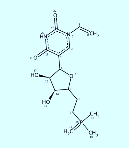 C=Cn1cc(C2OC(CCP(=C)(C)C)[C@@H](O)[C@H]2O)c(=O)[nH]c1=O